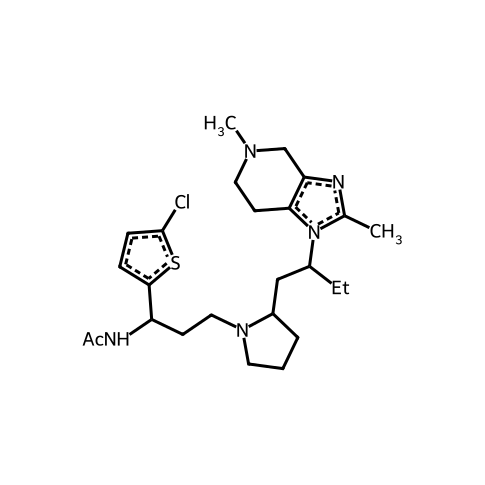 CCC(CC1CCCN1CCC(NC(C)=O)c1ccc(Cl)s1)n1c(C)nc2c1CCN(C)C2